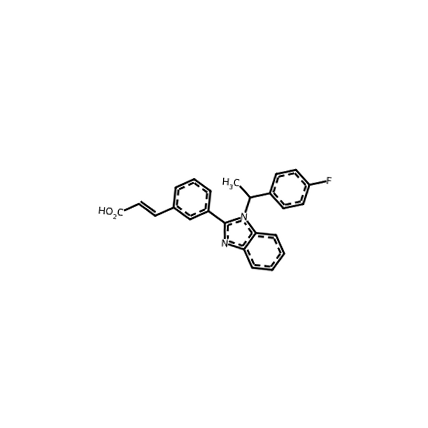 CC(c1ccc(F)cc1)n1c(-c2cccc(C=CC(=O)O)c2)nc2ccccc21